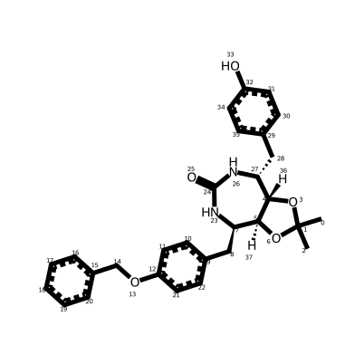 CC1(C)O[C@@H]2[C@@H](O1)[C@@H](Cc1ccc(OCc3ccccc3)cc1)NC(=O)N[C@@H]2Cc1ccc(O)cc1